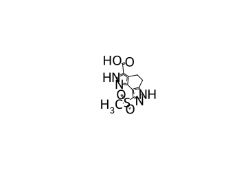 CS(=O)(=O)c1n[nH]c2c1-c1n[nH]c(C(=O)O)c1CC2